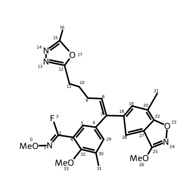 CO/N=C(\F)c1cc(/C(=C\CCCc2nnc(C)o2)c2cc(C)c3onc(OC)c3c2)cc(C)c1OC